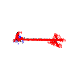 CN[C@@H](CC(=O)NCCOCCOCCOCCOCCOCCOCCOCCOCCOCCOCCOCCOCCC(=O)N(CCN(C[C@H](O)[C@@H](O)[C@H](O)[C@H](O)CO)C[C@H](O)[C@@H](O)[C@H](O)[C@H](O)CO)CCN(C[C@H](O)[C@@H](O)[C@H](O)[C@H](O)CO)C[C@H](O)[C@@H](O)[C@H](O)[C@H](O)CO)C(=O)N[C@H](C(=O)N[C@@H](CCCNC(N)=O)C(=O)Nc1ccc(CO)cc1)C(C)C